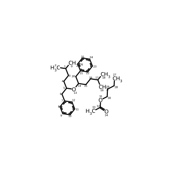 CC(C)CCC(Cc1ccccc1)OC(CCC(C)C)Cc1ccccc1.CCCCOC(C)=O